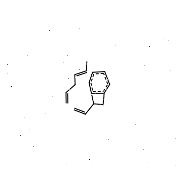 C=CC1Cc2ccccc21.C=CCC=CC